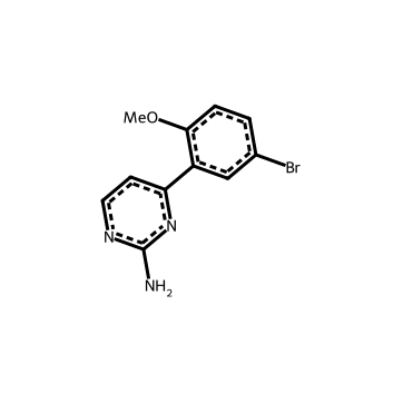 COc1ccc(Br)cc1-c1ccnc(N)n1